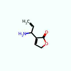 C=CC(N)C1=CCOC1=O